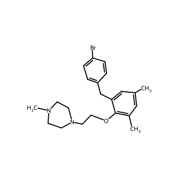 Cc1cc(C)c(OCCN2CCN(C)CC2)c(Cc2ccc(Br)cc2)c1